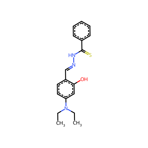 CCN(CC)c1ccc(C=NNC(=S)c2ccccc2)c(O)c1